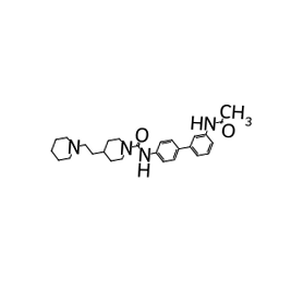 CC(=O)Nc1cccc(-c2ccc(NC(=O)N3CCC(CCN4CCCCC4)CC3)cc2)c1